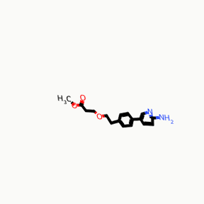 COC(=O)CCOCCc1ccc(-c2ccc(N)nc2)cc1